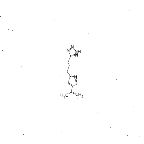 C=C(C)c1cnn(CCCc2nn[nH]n2)c1